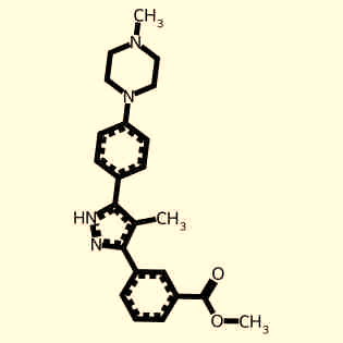 COC(=O)c1cccc(-c2n[nH]c(-c3ccc(N4CCN(C)CC4)cc3)c2C)c1